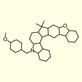 COC1CCC(CN2C3CCCCC3C3C4C5CC6C(CC5C(C)(C)C4CCC32)OC2CCCCC26)CC1